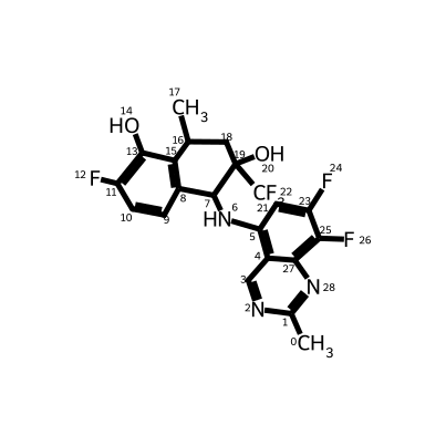 Cc1ncc2c(NC3c4ccc(F)c(O)c4C(C)CC3(O)C(F)(F)F)cc(F)c(F)c2n1